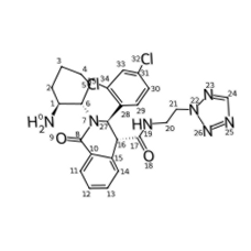 N[C@H]1CCCC[C@@H]1N1C(=O)c2ccccc2[C@@H](C(=O)NCCn2ncnn2)[C@@H]1c1ccc(Cl)cc1Cl